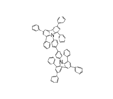 c1ccc(-c2cc(-c3ccccc3)c3c(c2)c2cc(-c4ccccc4)cc(-c4ccccc4)c2n3-c2ccc(-c3ccc(-n4c5c(-c6ccccc6)cc(-c6ccccc6)cc5c5cc(-c6ccccc6)cc(-c6ccccc6)c54)cc3)cc2)cc1